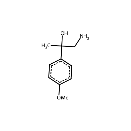 COc1ccc(C(C)(O)CN)cc1